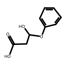 O=C(O)CC(O)Oc1ccccc1